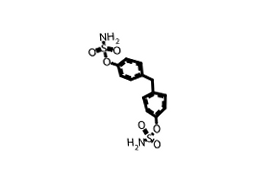 NS(=O)(=O)Oc1ccc(Cc2ccc(OS(N)(=O)=O)cc2)cc1